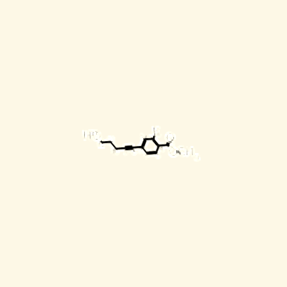 COC(=O)c1ccc(C#CCCCO)cc1F